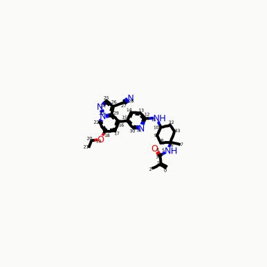 C=C(C)C(=O)NC1(C)CCC(Nc2ccc(-c3cc(OCC)cn4ncc(C#N)c34)cn2)CC1